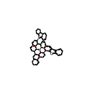 c1ccc(N(c2ccccc2-c2ccccc2-n2c3ccccc3c3ccccc32)c2ccccc2-c2cccc3c2oc2ccccc23)c(-c2ccc3ccccc3c2)c1